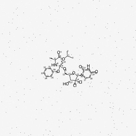 CC(C)OC(=O)[C@H](C)N[P@](=S)(OC[C@H]1O[C@@H](n2ccc(=O)[nH]c2=O)C(Cl)(Cl)[C@@H]1O)Oc1ccccc1